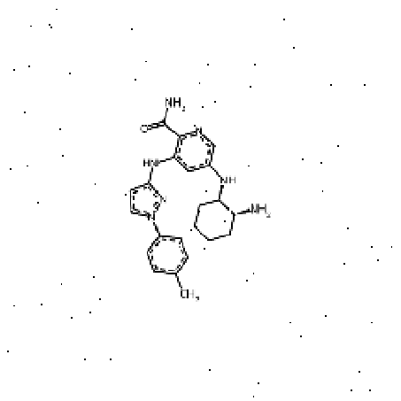 Cc1ccc(-n2ccc(Nc3cc(N[C@@H]4CCCC[C@@H]4N)cnc3C(N)=O)n2)cc1